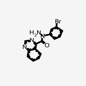 NN(C(=O)c1ncnc2ccccc12)c1cccc(Br)c1